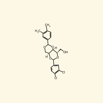 Cc1ccc(C2OC[C@@H]3OC(c4ccc(Cl)c(Cl)c4)O[C@H](CO)[C@@H]3O2)cc1C